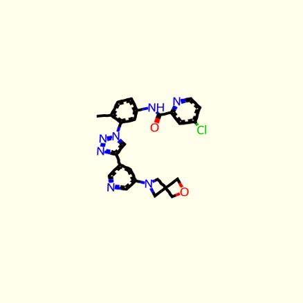 Cc1ccc(NC(=O)c2cc(Cl)ccn2)cc1-n1cc(-c2cncc(N3CC4(COC4)C3)c2)nn1